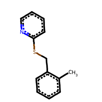 Cc1ccccc1CSc1ccccn1